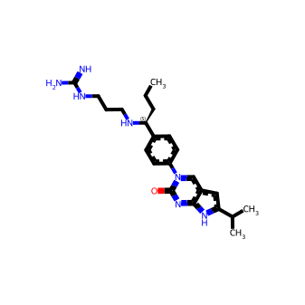 CCC[C@H](NCCCNC(=N)N)c1ccc(-n2cc3cc(C(C)C)[nH]c3nc2=O)cc1